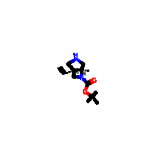 C=C[C@]12CNC[C@@]1(C)N(C(=O)OC(C)(C)C)C2